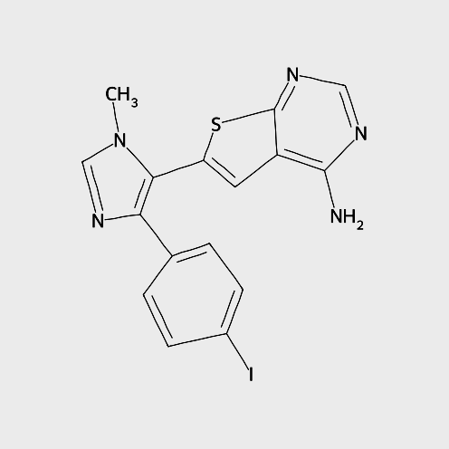 Cn1cnc(-c2ccc(I)cc2)c1-c1cc2c(N)ncnc2s1